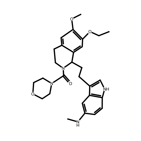 CCOc1cc2c(cc1OC)CCN(C(=O)N1CCOCC1)C2CCc1c[nH]c2ccc(NC)cc12